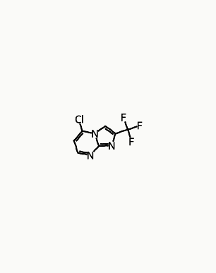 FC(F)(F)c1cn2c(Cl)ccnc2n1